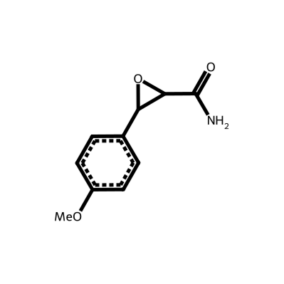 COc1ccc(C2OC2C(N)=O)cc1